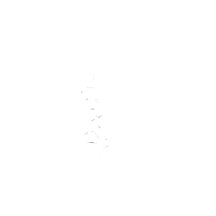 COC(=O)Nc1ccc(S(=O)(=O)Nc2cccc3c(Cl)c[nH]c23)cc1